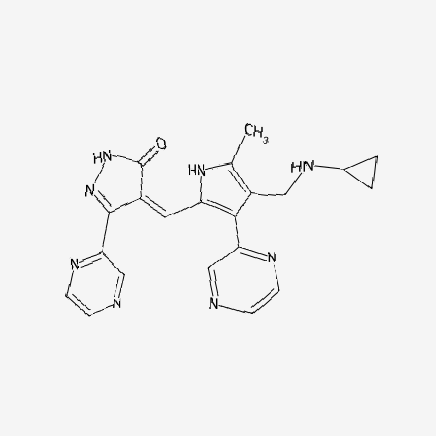 Cc1[nH]c(C=C2C(=O)NN=C2c2cnccn2)c(-c2cnccn2)c1CNC1CC1